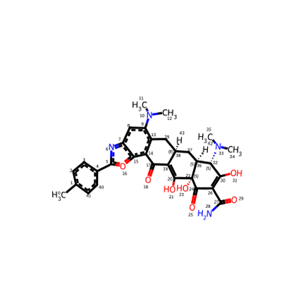 Cc1ccc(-c2nc3cc(N(C)C)c4c(c3o2)C(=O)C2=C(O)[C@]3(O)C(=O)C(C(N)=O)=C(O)[C@@H](N(C)C)[C@@H]3C[C@@H]2C4)cc1